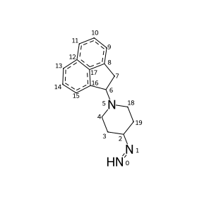 N=NC1CCN(C2Cc3cccc4cccc2c34)CC1